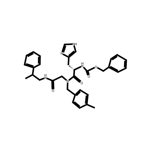 Cc1ccc(CN(CC(=O)NCC(C)c2ccccc2)C(=O)[C@H](Cc2c[nH]cn2)NC(=O)OCc2ccccc2)cc1